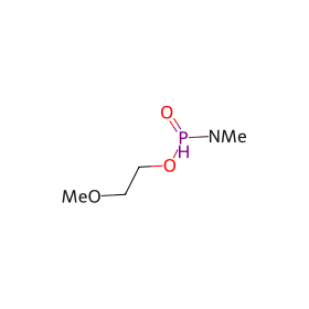 CN[PH](=O)OCCOC